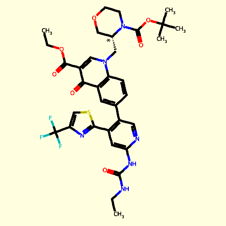 CCNC(=O)Nc1cc(-c2nc(C(F)(F)F)cs2)c(-c2ccc3c(c2)c(=O)c(C(=O)OCC)cn3C[C@@H]2COCCN2C(=O)OC(C)(C)C)cn1